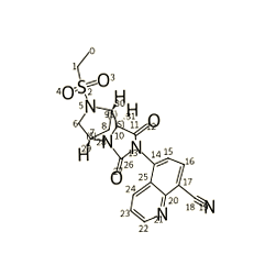 CCS(=O)(=O)N1C[C@@H]2C[C@H]1[C@H]1C(=O)N(c3ccc(C#N)c4ncccc34)C(=O)N21